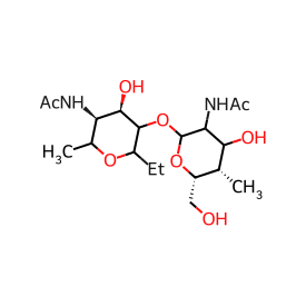 CCC1OC(C)[C@@H](NC(C)=O)[C@@H](O)C1OC1O[C@@H](CO)[C@@H](C)C(O)C1NC(C)=O